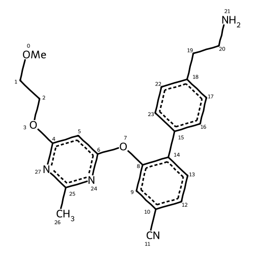 COCCOc1cc(Oc2cc(C#N)ccc2-c2ccc(CCN)cc2)nc(C)n1